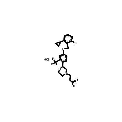 Cl.O=C(O)CCN1CCOC(c2ccc(OCc3c(Cl)cccc3C3CC3)cc2C(F)(F)F)C1